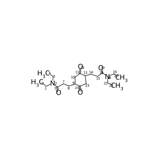 CCN(CC)C(=O)CCC1CC(=O)C(CCC(=O)N(CC)CC)CC1=O